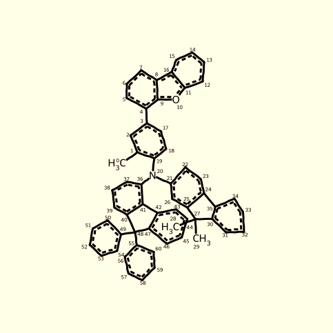 Cc1cc(-c2cccc3c2oc2ccccc23)ccc1N(c1ccc2c(c1)C(C)(C)c1ccccc1-2)c1cccc2c1-c1ccccc1C2(c1ccccc1)c1ccccc1